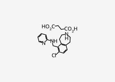 Clc1ccc2c(c1CNc1ccccn1)CCNCC2.O=C(O)CCC(=O)O